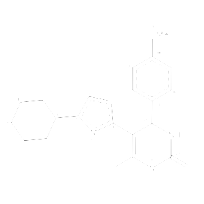 CCC1=C(c2nc(C3CCCCC3)cs2)C(c2ccc(OC)cc2)NC(=O)N1